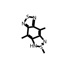 Cc1c2c(c(C)c3nsnc13)NS(C)=N2